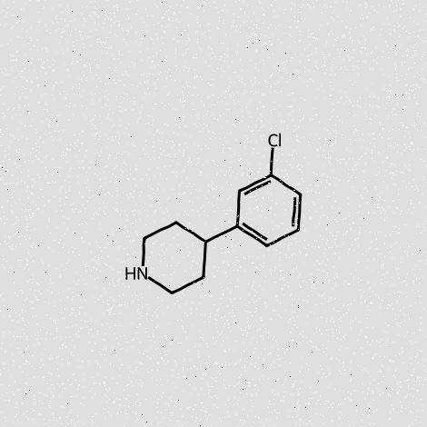 Clc1cccc(C2CCNCC2)c1